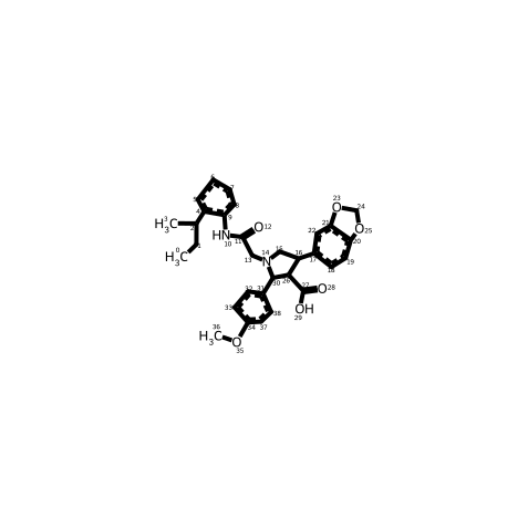 CCC(C)c1ccccc1NC(=O)CN1CC(c2ccc3c(c2)OCO3)C(C(=O)O)C1c1ccc(OC)cc1